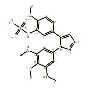 COc1ccc(-c2cnnn2-c2cc(OC)c(OC)c(OC)c2)cc1OS(=O)(=O)O